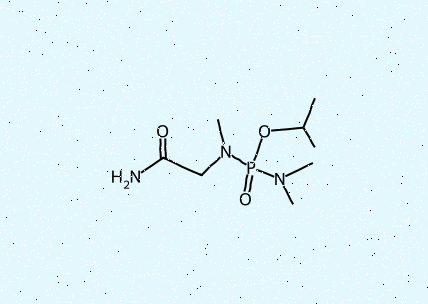 CC(C)OP(=O)(N(C)C)N(C)CC(N)=O